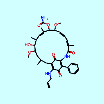 C=CCNC1=C2CC(C)CC(OC)C(O)C(C)C=C(C)C(OC(N)=O)C(OC)C=CC=C(C)C(=O)NC(=C(c3ccccc3)C1=O)C2=O